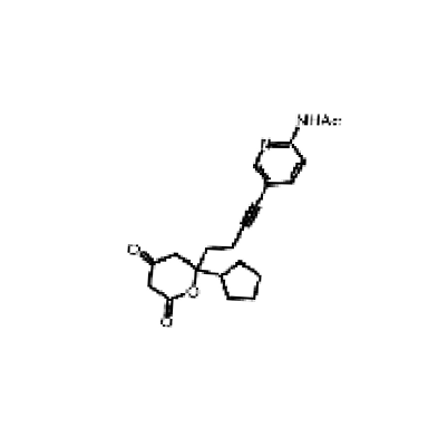 CC(=O)Nc1ccc(C#CCCC2(C3CCCC3)CC(=O)CC(=O)O2)cn1